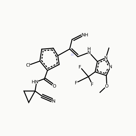 COc1nn(C)c(N/C=C(\C=N)c2ccc(Cl)c(C(=O)NC3(C#N)CC3)c2)c1C(F)(F)F